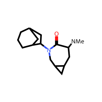 CNC1CC2CC2CN(C2CC3CCCC2C3)C1=O